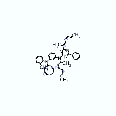 C=C/C=C\C=C(/C)c1nc(-c2ccccc2)nc(N(C(=C)/C=C\C=C/CC)c2cccc(N(C3=C/C=C\CC/C=C\3)c3ccccc3C)c2)n1